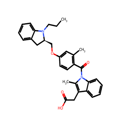 CCCN1c2ccccc2C[C@@H]1COc1ccc(C(=O)n2c(C)c(CC(=O)O)c3ccccc32)c(C)c1